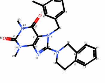 Cc1cccc(Cn2c(N3CCc4ccccc4C3)nc3c2c(=O)n(C)c(=O)n3C)c1